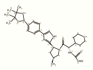 COC(=O)N[C@H](C(=O)N1C[C@@H](C)C[C@H]1c1nc(-c2ccc(B3OC(C)(C)C(C)(C)O3)cc2)c[nH]1)C1CCOCC1